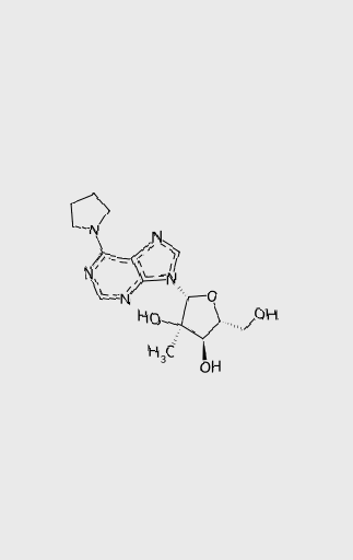 C[C@@]1(O)[C@H](O)[C@@H](CO)O[C@H]1n1cnc2c(N3CCCC3)ncnc21